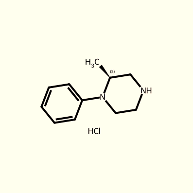 C[C@H]1CNCCN1c1ccccc1.Cl